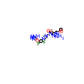 Nc1nc2c(sc(=O)n2CCN2CCN(c3cc(OCc4nnn[nH]4)c(F)cc3F)CC2)c2cc(-c3ccco3)nn12